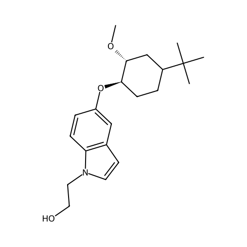 CO[C@@H]1CC(C(C)(C)C)CC[C@H]1Oc1ccc2c(ccn2CCO)c1